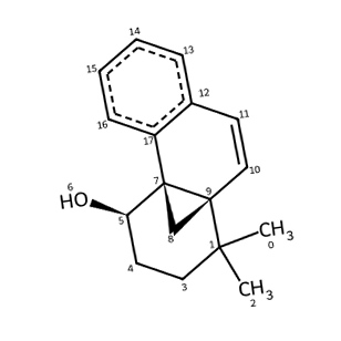 CC1(C)CC[C@@H](O)[C@@]23C[C@@]12C=Cc1ccccc13